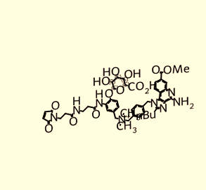 CCCCc1nc2c(N)nc3cc(C(=O)OC)ccc3c2n1Cc1ccc(C[N+](C)(C)Cc2ccc(O[C@@H]3O[C@H](C(=O)O)[C@@H](O)[C@H](O)[C@H]3O)c(NC(=O)CCNC(=O)CCN3C(=O)C=CC3=O)c2)cc1